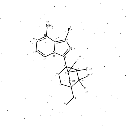 CCC12CCC(c3nc(Br)c4c(N)nccn34)(CC1(F)F)C(F)(F)C2